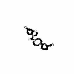 N#Cc1cccc(N2CCCN(C(=O)N3CCOc4cc(Cl)ccc43)CCC2)n1